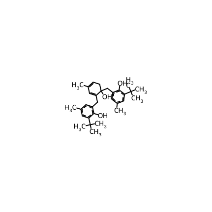 CC1=CCC(O)(Cc2cc(C)cc(C(C)(C)C)c2O)C(Cc2cc(C)cc(C(C)(C)C)c2O)=C1